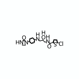 O=C(NC[C@H](O)CNc1ccc(N2CCNC2=O)cc1)c1ccc(Cl)s1